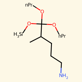 CCCOC(O[SiH3])(OCCC)C(C)CCCN